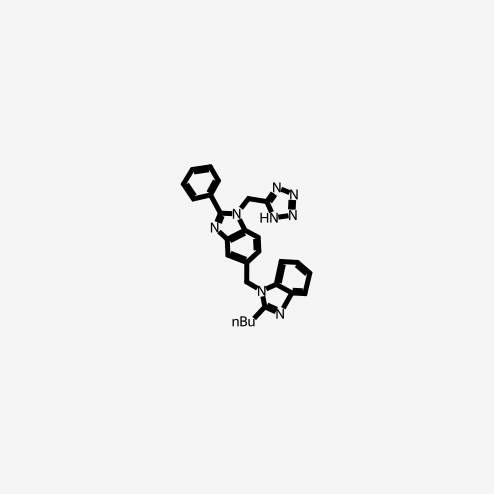 CCCCc1nc2ccccc2n1Cc1ccc2c(c1)nc(-c1ccccc1)n2Cc1nnn[nH]1